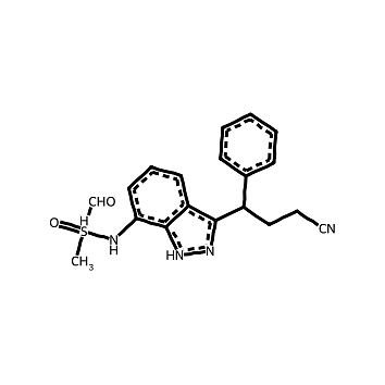 C[SH](=O)(C=O)Nc1cccc2c(C(CCC#N)c3ccccc3)n[nH]c12